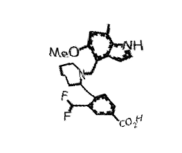 COc1cc(C)c2[nH]ccc2c1CN1CCCCC1c1ccc(C(=O)O)cc1C(F)F